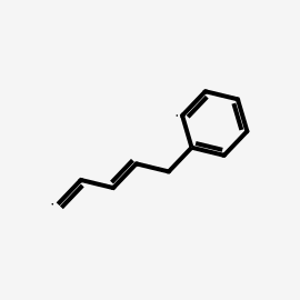 [CH]=CC=CCc1[c]cccc1